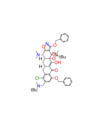 CN(C)[C@@H]1c2onc(OCc3ccccc3)c2C(=O)C2(O[Si](C)(C)C(C)(C)C)C(O)=C3C(=O)c4c(OCc5ccccc5)cc(CN(C)C(C)(C)C)c(Cl)c4C[C@H]3C[C@@H]12